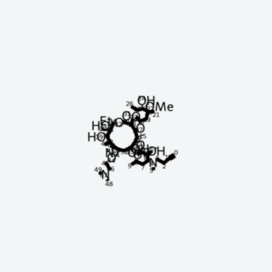 C#CCCN(C)C1CC(C)OC(O[C@@H]2[C@@H](C)[C@H](O[C@H]3C[C@@](C)(OC)[C@@H](O)C(C)O3)C(C)C(=O)O[C@H](CC)[C@@](C)(O)C(O)C(C)/C(=N/OCCN(C)C)[C@H](C)CC2(O)O)C1O